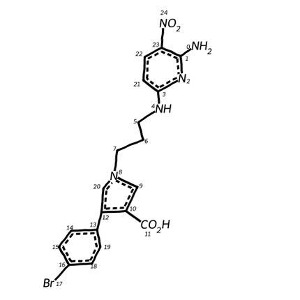 Nc1nc(NCCCn2cc(C(=O)O)c(-c3ccc(Br)cc3)c2)ccc1[N+](=O)[O-]